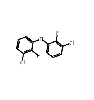 Fc1c(Cl)ccc[c]1[Ti][c]1cccc(Cl)c1F